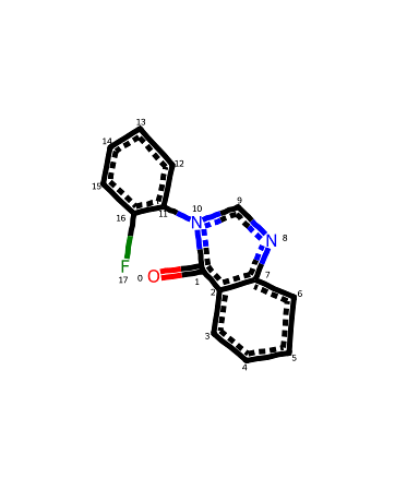 O=c1c2ccccc2ncn1-c1ccccc1F